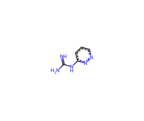 N=C(N)Nc1cccnn1